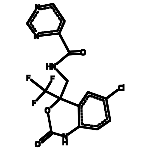 O=C1Nc2ccc(Cl)cc2C(CNC(=O)c2ccncn2)(C(F)(F)F)O1